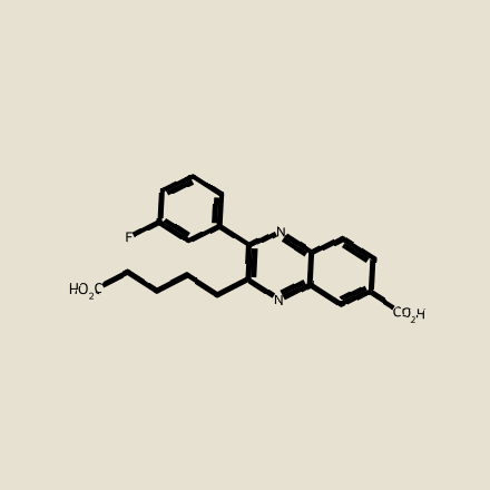 O=C(O)CCCCc1nc2cc(C(=O)O)ccc2nc1-c1cccc(F)c1